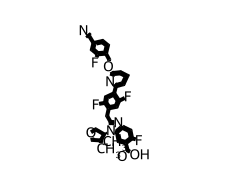 CC1(C)COC[C@H]1n1c(Cc2cc(F)c(-c3cccc(OCc4ccc(C#N)cc4F)n3)cc2F)nc2cc(F)c(C(=O)O)cc21